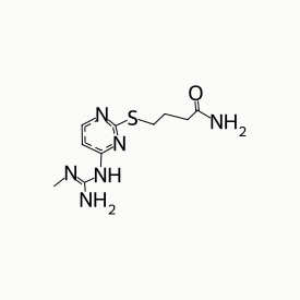 CN=C(N)Nc1ccnc(SCCCC(N)=O)n1